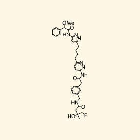 COC(C(=O)Nc1nnc(CCCCc2ccc(NC(=O)Cc3cccc(CNC(=O)CC(C)(O)CF)c3)nn2)s1)c1ccccc1